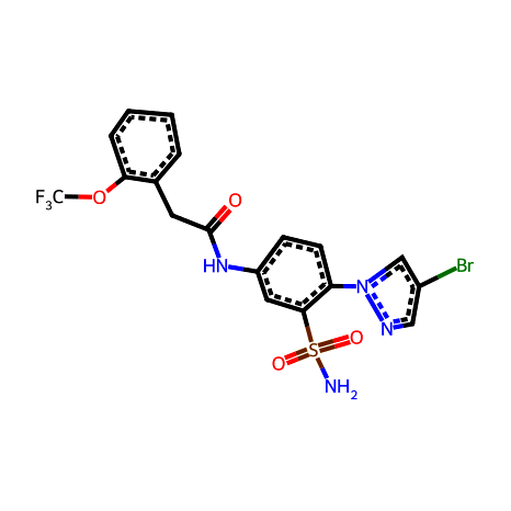 NS(=O)(=O)c1cc(NC(=O)Cc2ccccc2OC(F)(F)F)ccc1-n1cc(Br)cn1